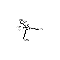 CCCCCCCCCCCCCCCC(=O)C(SCC(O)CO)(C(=O)CCCCCCCCCCCCCCC)[C@H](NC(C)=O)C(=O)O